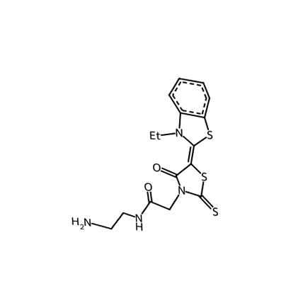 CCN1C(=C2SC(=S)N(CC(=O)NCCN)C2=O)Sc2ccccc21